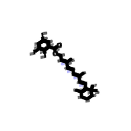 CC1=C(/C=C/C(C)=C/C=C/C(C)=C/COC(=O)c2cc(I)cc(I)c2I)C(C)(C)CCC1